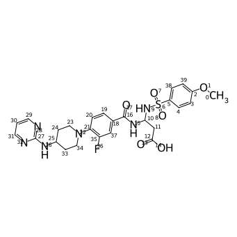 COc1ccc(S(=O)(=O)NC(CC(=O)O)NC(=O)c2ccc(N3CCC(Nc4ncccn4)CC3)c(F)c2)cc1